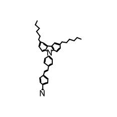 CCCCCCc1ccc2c(c1)c1cc(CCCCCC)ccc1n2-c1ccc(/C=C/c2ccc(C#N)cc2)cc1